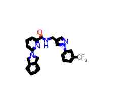 O=C(NCc1cnn(-c2cccc(C(F)(F)F)c2)c1)c1cccc(N2Cc3ccccc3C2)n1